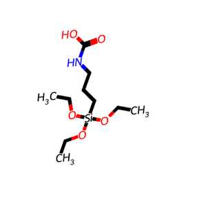 CCO[Si](CCCNC(=O)O)(OCC)OCC